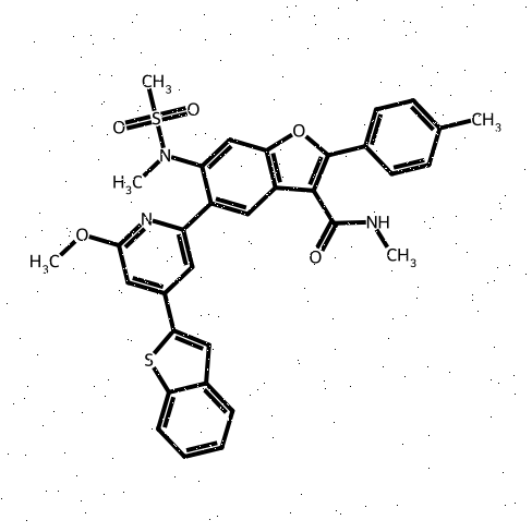 CNC(=O)c1c(-c2ccc(C)cc2)oc2cc(N(C)S(C)(=O)=O)c(-c3cc(-c4cc5ccccc5s4)cc(OC)n3)cc12